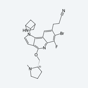 CN1CCC[C@H]1COc1nc2c(F)c(Br)c(CCC#N)cc2c2c1ccn2C1C2CNC1C2